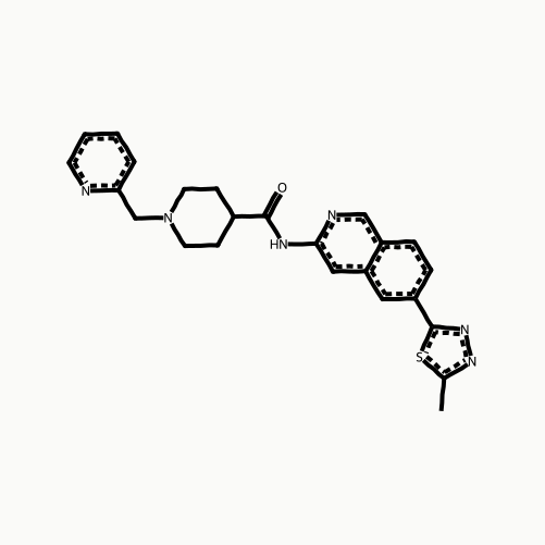 Cc1nnc(-c2ccc3cnc(NC(=O)C4CCN(Cc5ccccn5)CC4)cc3c2)s1